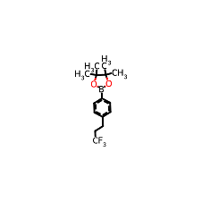 CC1(C)OB(c2ccc(CCC(F)(F)F)cc2)OC1(C)C